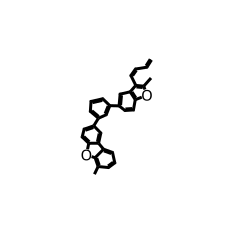 C=C/C=C\c1c(C)oc2ccc(-c3cccc(-c4ccc5oc6c(C)cccc6c5c4)c3)cc12